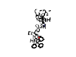 CCC(COC(=O)CO/N=C\C(=O)N[C@@H]1C(=O)N2C(C(=O)O)=C(CCl)CS[C@H]12)c1csc(NC(c2ccccc2)(c2ccccc2)c2ccccc2)n1